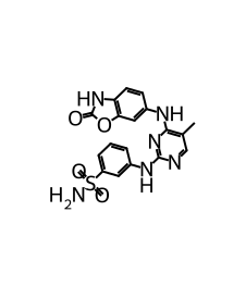 Cc1cnc(Nc2cccc(S(N)(=O)=O)c2)nc1Nc1ccc2[nH]c(=O)oc2c1